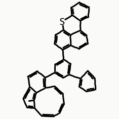 Cc1c2ccccccc3c(-c4cc(-c5ccccc5)cc(-c5ccc6c7c(cccc57)-c5ccccc5S6)c4)ccc(cc2)c13